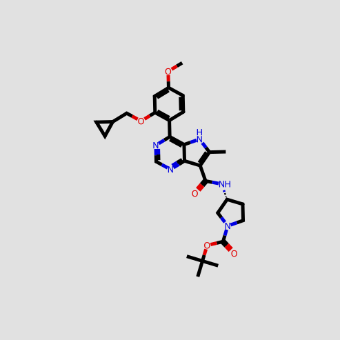 COc1ccc(-c2ncnc3c(C(=O)N[C@@H]4CCN(C(=O)OC(C)(C)C)C4)c(C)[nH]c23)c(OCC2CC2)c1